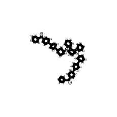 O=C(c1ccccc1)c1ccc(-c2ccc(-c3cccc(-n4c5ccccc5c5c6c7ccccc7n(-c7cccc(-c8ccc(-c9ccc(C(=O)c%10ccccc%10)cc9)cc8)c7)c6ccc54)c3)cc2)cc1